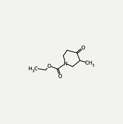 CCOC(=O)N1CCC(=O)C(C)C1